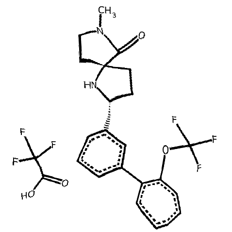 CN1CC[C@]2(CC[C@H](c3cccc(-c4ccccc4OC(F)(F)F)c3)N2)C1=O.O=C(O)C(F)(F)F